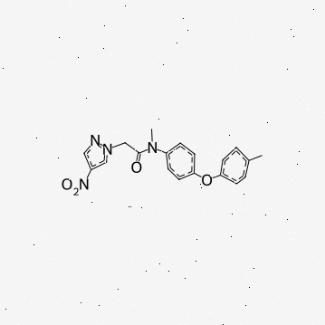 Cc1ccc(Oc2ccc(N(C)C(=O)Cn3cc([N+](=O)[O-])cn3)cc2)cc1